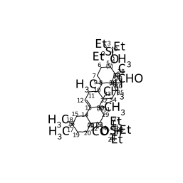 CC[Si](CC)(CC)O[C@H]1CCC2(C)C3CC=C4C5CC(C)(C)CC[C@]5(C(=O)O)[C@@H](O[Si](CC)(CC)CC)C[C@@]4(C)C3(C)CC[C@H]2[C@@]1(C)C=O